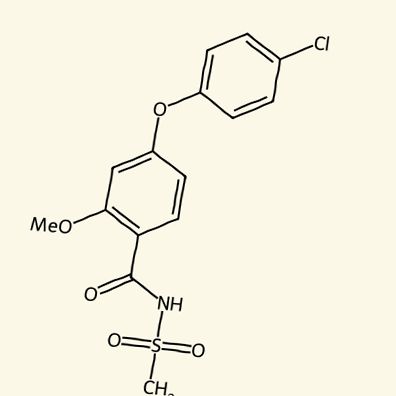 COc1cc(Oc2ccc(Cl)cc2)ccc1C(=O)NS(C)(=O)=O